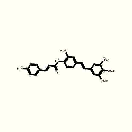 COc1cc(C=Cc2cc(OC)c(OC)c(OC)c2)ccc1NC(=O)/C=C/c1ccc(N)cc1